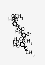 CCOc1cc(OC(F)(F)F)cc(C(C)(C)c2cc(Br)cc(NC(=O)c3cc4cc(NS(C)(=O)=O)ccc4s3)c2)c1